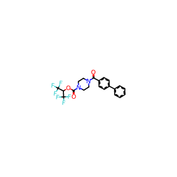 O=C(OC(C(F)(F)F)C(F)(F)F)N1CCN(C(=O)c2ccc(-c3ccccc3)cc2)CC1